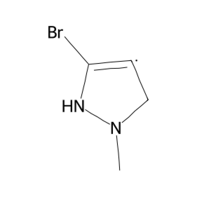 CN1C[C]=C(Br)N1